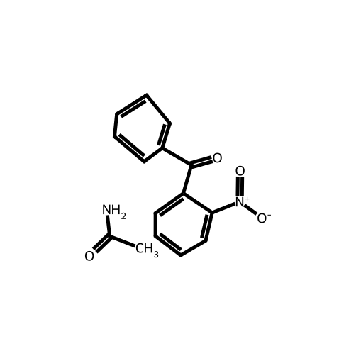 CC(N)=O.O=C(c1ccccc1)c1ccccc1[N+](=O)[O-]